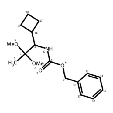 COC(C)(OC)C(NC(=O)OCc1ccccc1)C1CCC1